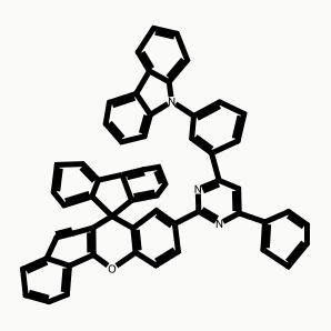 c1ccc(-c2cc(-c3cccc(-n4c5ccccc5c5ccccc54)c3)nc(-c3ccc4c(c3)C3(c5ccccc5-c5ccccc53)c3ccc5ccccc5c3O4)n2)cc1